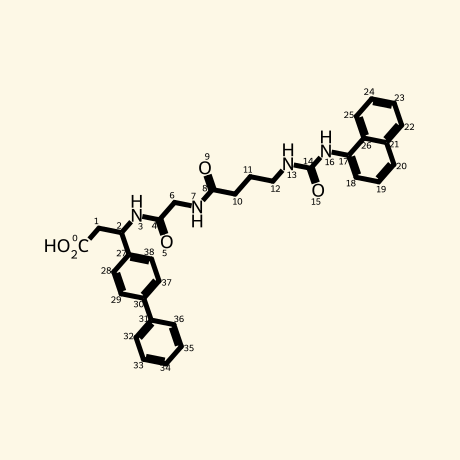 O=C(O)CC(NC(=O)CNC(=O)CCCNC(=O)Nc1cccc2ccccc12)c1ccc(-c2ccccc2)cc1